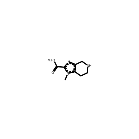 COC(=O)c1nc2c(n1C)CCNC2